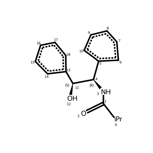 CC(C)C(=O)N[C@H](c1ccccc1)[C@@H](O)c1ccccc1